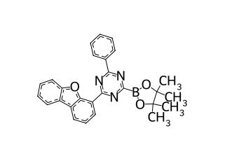 CC1(C)OB(c2nc(-c3ccccc3)nc(-c3cccc4c3oc3ccccc34)n2)OC1(C)C